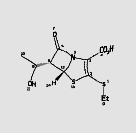 CCSC1=C(C(=O)O)N2C(=O)[C@@H](C(C)O)[C@H]2S1